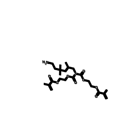 C=C(C)C(=O)OCCOC(=O)N(CC(C)CC(C)(C)CCN)C(=O)OCCOC(=O)C(=C)C